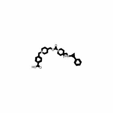 O=C(O)c1ccc(CN2CCC(COC(=O)N3CCC(F)(CNC4CC4c4ccccc4)CC3)CC2)cc1